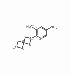 Cc1cc(N)cnc1N1CC2(COC2)C1